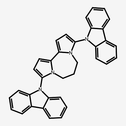 c1ccc2c(c1)c1ccccc1n2-c1ccc2n1CCCn1c-2ccc1-n1c2ccccc2c2ccccc21